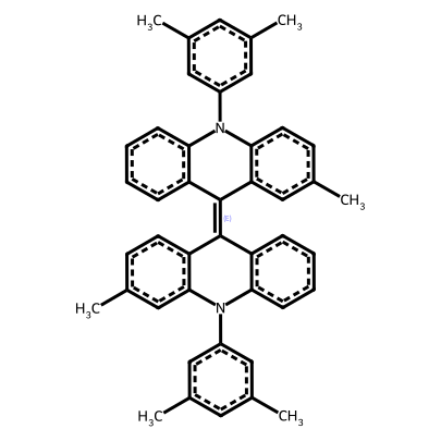 Cc1cc(C)cc(N2c3ccccc3/C(=C3/c4ccccc4N(c4cc(C)cc(C)c4)c4cc(C)ccc43)c3cc(C)ccc32)c1